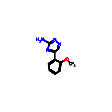 Nc1nncc(-c2ccccc2OC(F)(F)F)n1